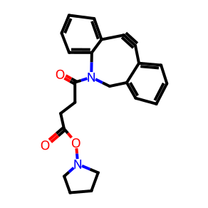 O=C(CCC(=O)N1Cc2ccccc2C#Cc2ccccc21)ON1CCCC1